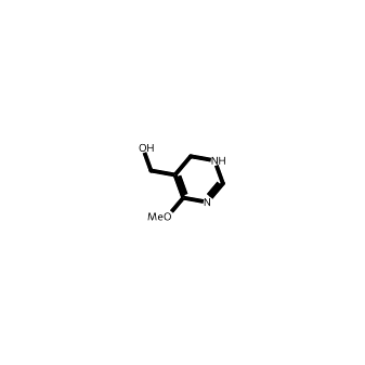 COC1=C(CO)CNC=N1